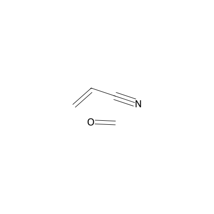 C=CC#N.C=O